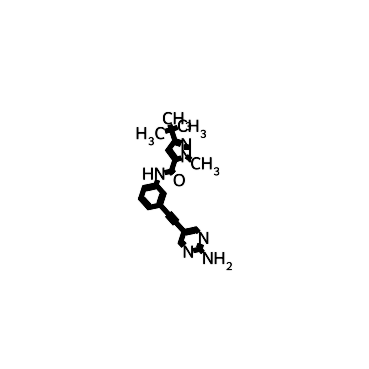 Cn1nc(C(C)(C)C)cc1C(=O)Nc1cccc(C#Cc2cnc(N)nc2)c1